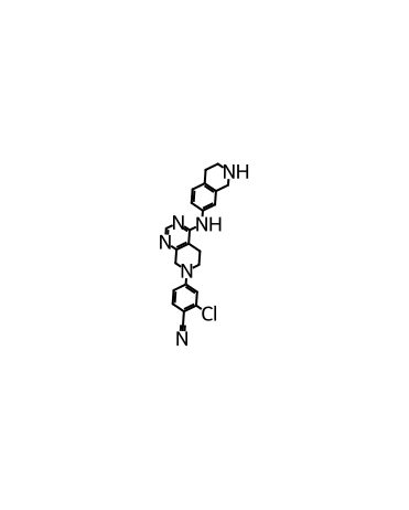 N#Cc1ccc(N2CCc3c(ncnc3Nc3ccc4c(c3)CNCC4)C2)cc1Cl